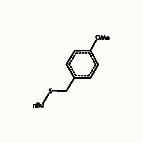 CCCCSCc1ccc(OC)cc1